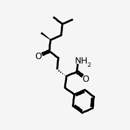 CC(C)C[C@H](C)C(=O)CC[C@@H](Cc1ccccc1)C(N)=O